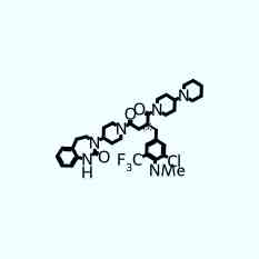 CNc1c(Cl)cc(C[C@@H](CC(=O)N2CCC(N3CCc4ccccc4NC3=O)CC2)C(=O)N2CCC(N3CCCCC3)CC2)cc1C(F)(F)F